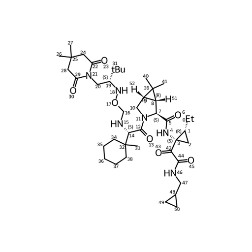 CC[C@@H]1C[C@@]1(NC(=O)[C@@H]1[C@@H]2[C@H](CN1C(=O)[C@@H](NCON[C@H](CN1C(=O)CC(C)(C)CC1=O)C(C)(C)C)C1(C)CCCCC1)C2(C)C)C(=O)C(=O)NCC1CC1